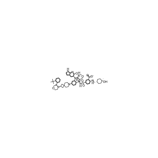 CC(C)(C)c1ccccc1[C@@H]1COCCN1C1CC2(CCN(c3ccc(C(=O)NS(=O)(=O)c4ccc(NC[C@H]5CC[C@](C)(O)CC5)c([N+](=O)[O-])c4)c(N4c5cc6cc[nH]c6nc5O[C@H]5COCC[C@@H]54)c3)CC2)C1